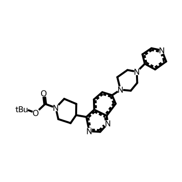 CC(C)(C)OC(=O)N1CCC(c2ncnc3cc(N4CCN(c5ccncc5)CC4)ccc23)CC1